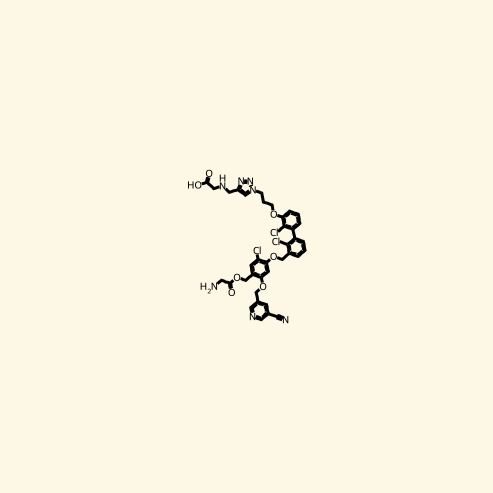 N#Cc1cncc(COc2cc(OCc3cccc(-c4cccc(OCCCn5cc(CNCC(=O)O)nn5)c4Cl)c3Cl)c(Cl)cc2COC(=O)CN)c1